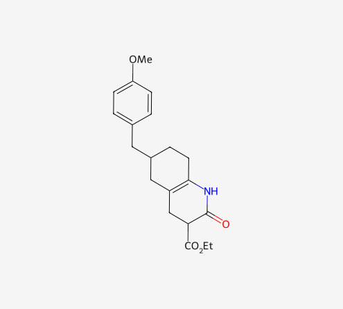 CCOC(=O)C1CC2=C(CCC(Cc3ccc(OC)cc3)C2)NC1=O